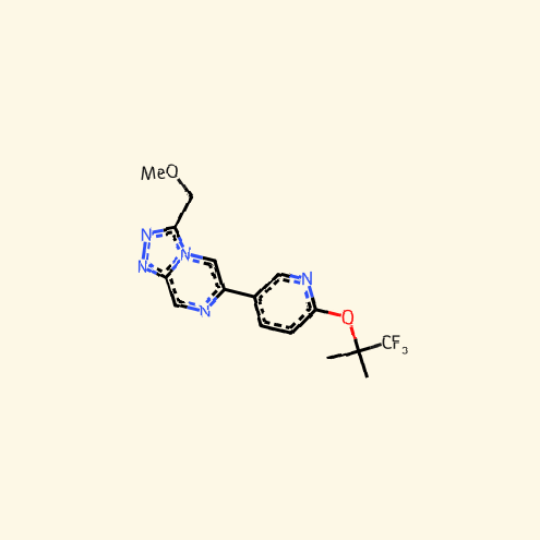 COCc1nnc2cnc(-c3ccc(OC(C)(C)C(F)(F)F)nc3)cn12